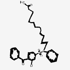 O=C(O)CCCCCCCCCCN(c1ccccc1)S(=O)(=O)c1ccc(C(=O)c2ccccc2)c(Cl)c1